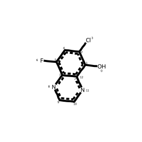 Oc1c(Cl)cc(F)c2nccnc12